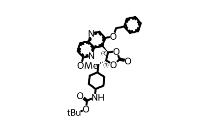 COc1ccc2ncc(OCc3ccccc3)c([C@H]3OC(=O)O[C@@H]3CC3CCC(NC(=O)OC(C)(C)C)CC3)c2n1